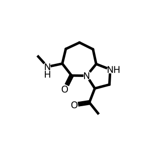 CNC1CCCC2NCC(C(C)=O)N2C1=O